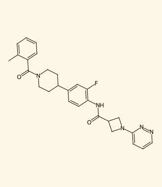 Cc1ccccc1C(=O)N1CCC(c2ccc(NC(=O)C3CN(c4cccnn4)C3)c(F)c2)CC1